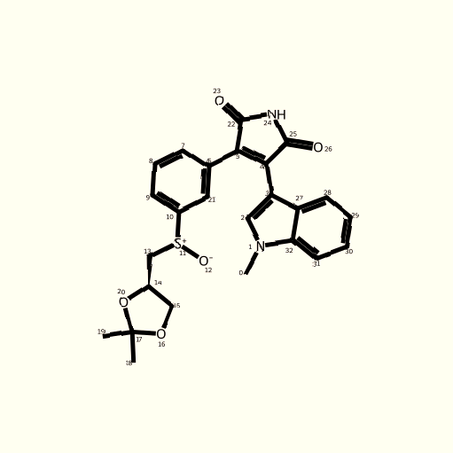 Cn1cc(C2=C(c3cccc([S+]([O-])C[C@H]4COC(C)(C)O4)c3)C(=O)NC2=O)c2ccccc21